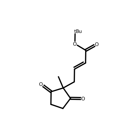 CC(C)(C)OC(=O)C=CCC1(C)C(=O)CCC1=O